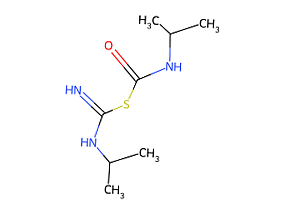 CC(C)NC(=N)SC(=O)NC(C)C